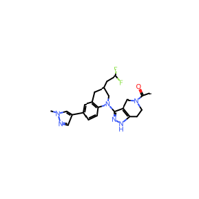 CC(=O)N1CCc2[nH]nc(N3CC(CC(F)F)Cc4cc(-c5cnn(C)c5)ccc43)c2C1